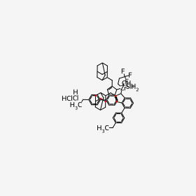 CCc1ccc(-c2cccc3c2C=C(CC2C4CC5CC(C4)CC2C5)[CH]3[Zr]([CH3])(=[SiH2])([CH2]CC(F)(F)F)[CH]2C(CC3C4CC5CC(C4)CC3C5)=Cc3c(-c4ccc(CC)cc4)cccc32)cc1.Cl.Cl